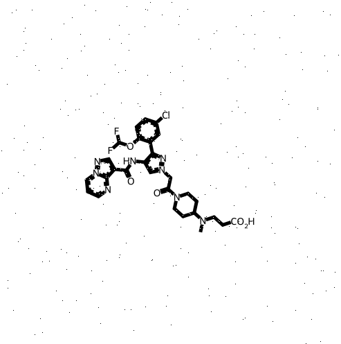 CN(CCC(=O)O)C1CCN(C(=O)Cn2cc(NC(=O)c3cnn4cccnc34)c(-c3cc(Cl)ccc3OC(F)F)n2)CC1